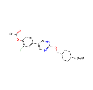 CCCCC[C@H]1CC[C@H](COc2ncc(-c3ccc(OC(=O)CC)c(F)c3)cn2)CC1